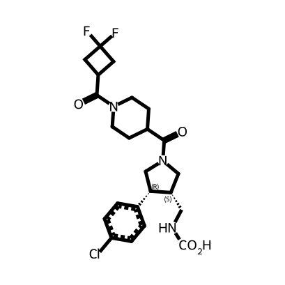 O=C(O)NC[C@H]1CN(C(=O)C2CCN(C(=O)C3CC(F)(F)C3)CC2)C[C@H]1c1ccc(Cl)cc1